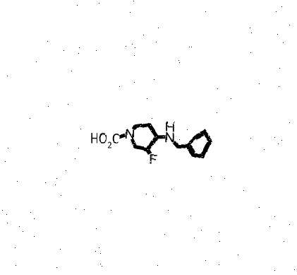 O=C(O)N1CCC(NCc2ccccc2)C(F)C1